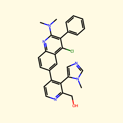 CN(C)c1nc2ccc(-c3ccnc(CO)c3-c3cncn3C)cc2c(Cl)c1-c1ccccc1